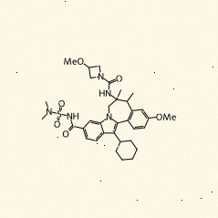 COc1ccc2c(c1)C(C)C(C)(NC(=O)N1CC(OC)C1)Cn1c-2c(C2CCCCC2)c2ccc(C(=O)NS(=O)(=O)N(C)C)cc21